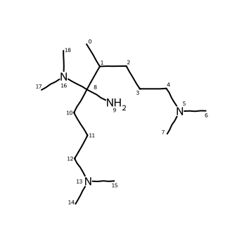 CC(CCCN(C)C)C(N)(CCCN(C)C)N(C)C